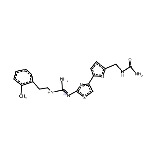 Cc1ccccc1CCN/C(N)=N/c1nc(-c2ccc(CNC(N)=O)o2)cs1